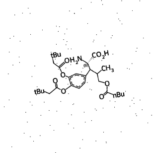 CCCCC(=O)OCC(C)C(c1ccc(OC(=O)CC(C)(C)C)c(OC(=O)CC(C)(C)C)c1)[C@H](N)C(=O)O